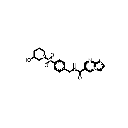 O=C(NCc1ccc(S(=O)(=O)N2CCCC(O)C2)cc1)c1cnc2nccn2c1